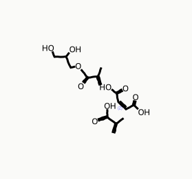 C=C(C)C(=O)O.C=C(C)C(=O)OCC(O)CO.O=C(O)/C=C\C(=O)O